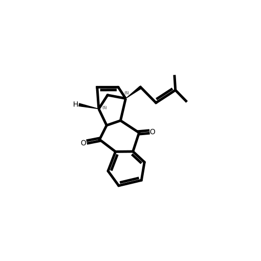 CC(C)=CC[C@]12C=C[C@H](C1)C1C(=O)c3ccccc3C(=O)C12